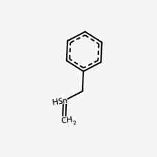 [CH2]=[SnH][CH2]c1ccccc1